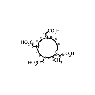 CC1CN(CC(=O)O)CCN(CC(=O)O)CCN(CC(=O)O)CCCCN1CC(=O)O